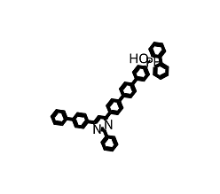 O[PH]1(c2ccc(-c3ccc(-c4ccc(-c5cc(-c6ccc(-c7ccccc7)cc6)nc(-c6ccccc6)n5)cc4)cc3)cc2)c2ccccc2-c2ccccc21